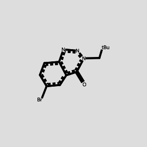 CC(C)(C)Cn1nnc2ccc(Br)cc2c1=O